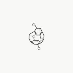 Clc1cc2c(Cl)cc1CCc1cc(Cl)c(cc1Cl)CC2